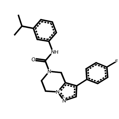 CC(C)c1cccc(NC(=O)N2CCn3ncc(-c4ccc(F)cc4)c3C2)c1